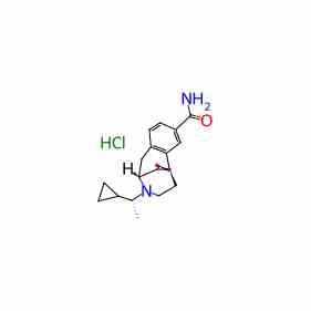 C[C@H](C1CC1)N1CC[C@]23CCCCC2[C@H]1Cc1ccc(C(N)=O)cc13.Cl